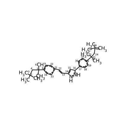 CC(C)(C)CC(C)(C)c1ccc(C=CC2=CC(c3ccc(C(C)(C)CC(C)(C)C)cc3)NN2)cc1